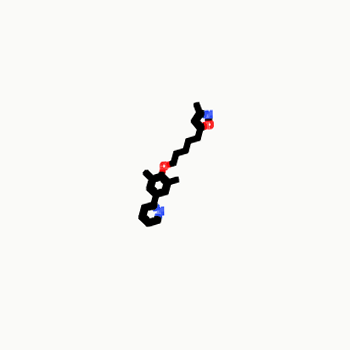 Cc1cc(CCCCCOc2c(C)cc(-c3ccccn3)cc2C)on1